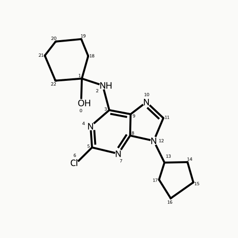 OC1(Nc2nc(Cl)nc3c2ncn3C2CCCC2)CCCCC1